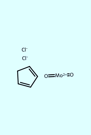 C1=CCC=C1.[Cl-].[Cl-].[O]=[Mo+2]=[O]